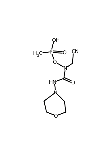 CP(=O)(O)ON(CC#N)C(=O)NN1CCOCC1